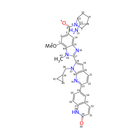 COc1cc(C(=O)N2CC3CCC2C3N)cc2nc(-c3cc4ccc(-c5ccc6[nH]c(=O)ccc6c5)nc4n3CC3CC3)n(C)c12